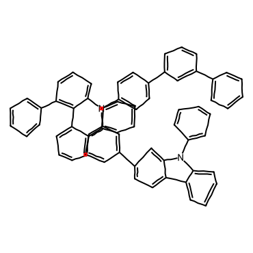 c1ccc(-c2cccc(-c3ccc(N(c4cccc(-c5ccc6c7ccccc7n(-c7ccccc7)c6c5)c4)c4cccc(-c5ccccc5)c4-c4ccccc4-c4ccccc4)cc3)c2)cc1